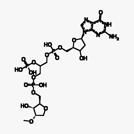 CO[C@H]1CO[C@H](COP(=O)(O)OCC(COP(=O)(O)OC[C@H]2O[C@@H](n3cnc4c(=O)[nH]c(N)nc43)CC2O)OP(=O)(O)O)[C@H]1O